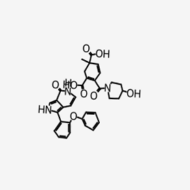 CC1(C(=O)O)C=CC(C(=O)N2CCC(O)CC2)=C(C(=O)O)C1.O=c1[nH]ccc2c(-c3ccccc3Oc3ccccc3)[nH]cc12